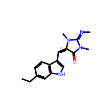 CCc1ccc2c(/C=C3\C(=O)N(C)/C(=N\C)N3C)c[nH]c2c1